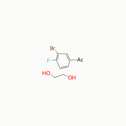 CC(=O)c1ccc(F)c(Br)c1.OCCO